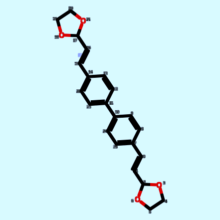 C(=CC1OCCO1)c1ccc(-c2ccc(/C=C/C3OCCO3)cc2)cc1